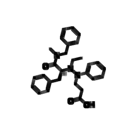 CCN([C@@H](Cc1ccccc1)C(=O)N(C)Cc1ccccc1)N(CCC(=O)O)c1ccccc1